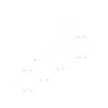 CCC[C@H](C#C[Si](C)(C)C)N(Cc1ccccc1)Cc1ccccc1